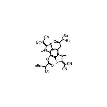 CCCCC(CC)C(=O)Cc1c2c(c(OC(=O)C(CC)CCCC)c3c1N(C)C(=C(C#N)C#N)S3)N(C)C(=C(C#N)C#N)S2